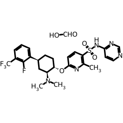 Cc1nc(O[C@H]2CC[C@H](c3cccc(C(F)(F)F)c3F)C[C@@H]2N(C)C)ccc1S(=O)(=O)Nc1ccncn1.O=CO